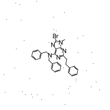 Cn1c(Br)nc2c(N(Cc3ccccc3)Cc3ccccc3)nc(CCc3ccccc3)nc21